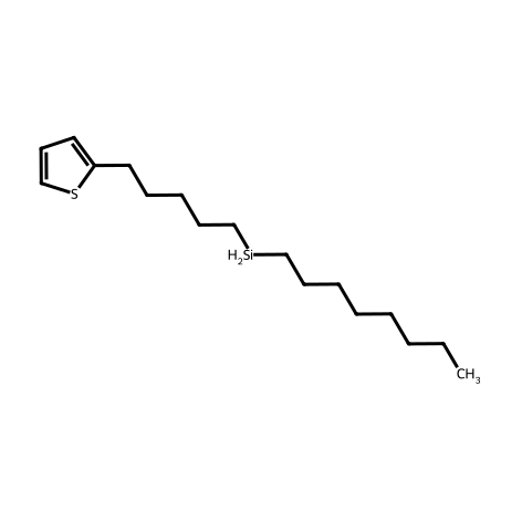 CCCCCCCC[SiH2]CCCCCc1cccs1